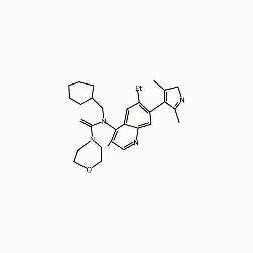 C=C(N1CCOCC1)N(CC1CCCCC1)c1c(C)cnc2cc(C3=C(C)CN=C3C)c(CC)cc12